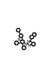 c1ccc(-c2ccc3c4cc5c(c6ccccc6n5-c5nc(-c6ccc7ccccc7c6)c6ccccc6n5)c5c6ccccc6n(c3c2)c45)cc1